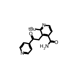 CC(C)(C)c1nccc(C(N)=O)c1CC(=O)c1ccncc1